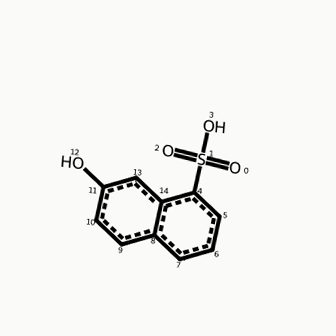 O=S(=O)(O)c1cc[c]c2ccc(O)[c]c12